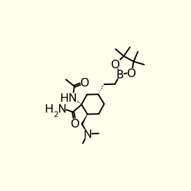 CC(=O)N[C@]1(C(N)=O)C[C@H](CCB2OC(C)(C)C(C)(C)O2)CC[C@H]1CN(C)C